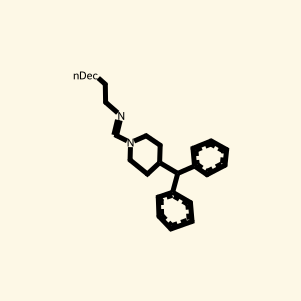 CCCCCCCCCCCCN=CN1CCC(C(c2ccccc2)c2ccccc2)CC1